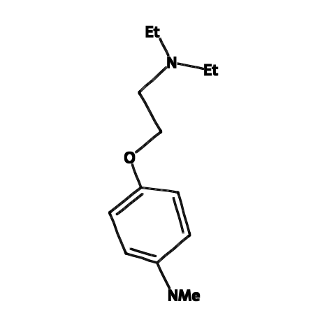 CCN(CC)CCOc1ccc(NC)cc1